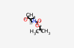 CC(=O)C1CN(C(=O)OCC(C)C)C1